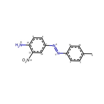 Cc1ccc(N=Nc2ccc(N)c([N+](=O)[O-])c2)cc1